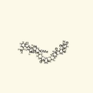 COc1cc2nc(C)nc(N[C@H](C)c3cc(-c4c(Cl)cccc4CN(C)C)cs3)c2cc1C1CCC(C(=O)N2CCN(CC3CCC4(CC3)CCN(C(=O)c3ccc(F)c(-n5ccc(=O)[nH]c5=O)c3)CC4)CC2)CC1